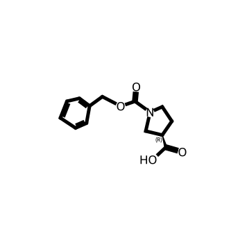 O=C(O)[C@@H]1CCN(C(=O)OCc2ccccc2)C1